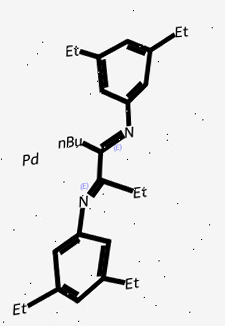 CCCCC(=N\c1cc(CC)cc(CC)c1)/C(CC)=N/c1cc(CC)cc(CC)c1.[Pd]